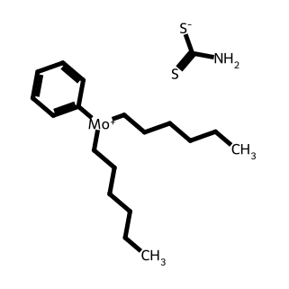 CCCCC[CH2][Mo+]([CH2]CCCCC)[c]1ccccc1.NC(=S)[S-]